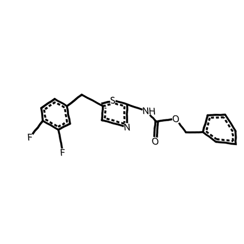 O=C(Nc1ncc(Cc2ccc(F)c(F)c2)s1)OCc1ccccc1